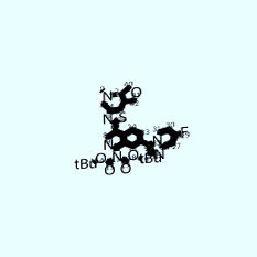 CN(C)Cc1nc(-c2cnc(N(C(=O)OC(C)(C)C)C(=O)OC(C)(C)C)c3cc(-c4cnc5cc(F)ccn45)ccc23)sc1C1CCOC1